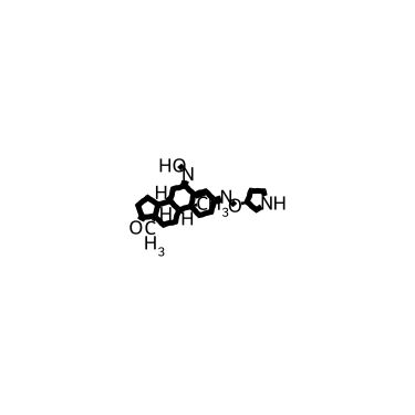 C[C@]12CCC(=NO[C@H]3CCNC3)C=C1/C(=N/O)C[C@@H]1[C@@H]2CC[C@]2(C)C(=O)CC[C@@H]12